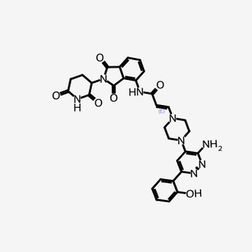 Nc1nnc(-c2ccccc2O)cc1N1CCN(/C=C/C(=O)Nc2cccc3c2C(=O)N(C2CCC(=O)NC2=O)C3=O)CC1